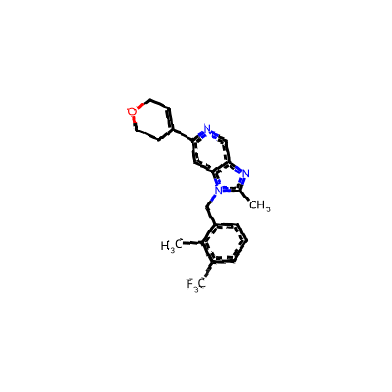 Cc1c(Cn2c(C)nc3cnc(C4=CCOCC4)cc32)cccc1C(F)(F)F